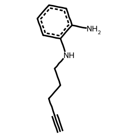 C#CCCCNc1ccccc1N